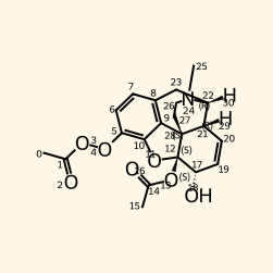 CC(=O)OOc1ccc2c3c1O[C@@]1(OC(C)=O)[C@@H](O)C=C[C@H]4[C@@H](C2)N(C)CC[C@@]341